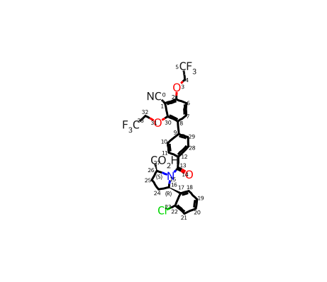 N#Cc1c(OCC(F)(F)F)ccc(-c2ccc(C(=O)N3[C@@H](c4ccccc4Cl)CC[C@H]3C(=O)O)cc2)c1OCC(F)(F)F